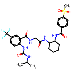 CC(C)NC(=O)Nc1ccc(C(F)(F)F)cc1C(=O)NCC(=O)NC1CCCCC1NC(=O)c1ccc(S(C)(=O)=O)cc1